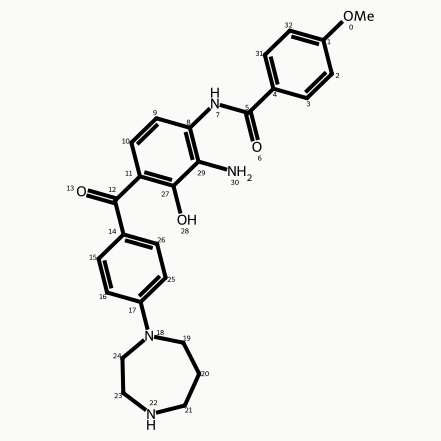 COc1ccc(C(=O)Nc2ccc(C(=O)c3ccc(N4CCCNCC4)cc3)c(O)c2N)cc1